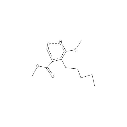 CCCCCc1c(C(=O)OC)ccnc1SC